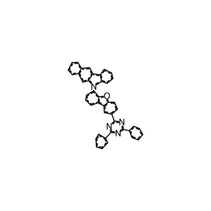 c1ccc(-c2nc(-c3ccccc3)nc(-c3ccc4oc5c(-n6c7ccccc7c7cc8ccccc8cc76)cccc5c4c3)n2)cc1